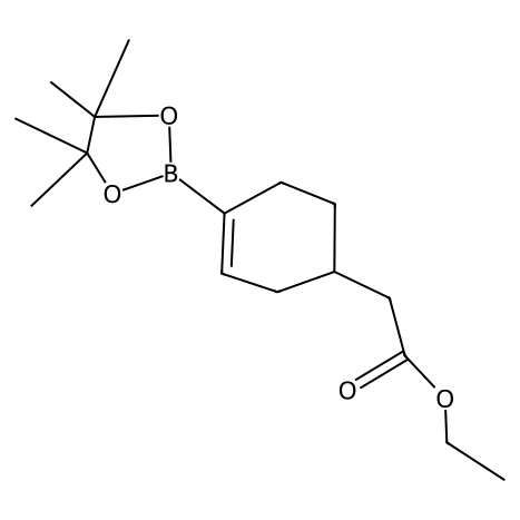 CCOC(=O)CC1CC=C(B2OC(C)(C)C(C)(C)O2)CC1